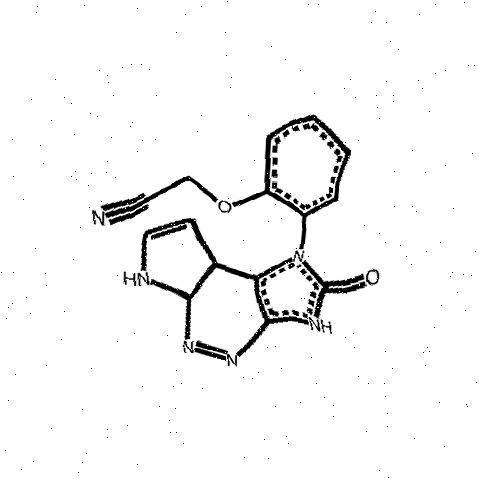 N#CCOc1ccccc1-n1c2c([nH]c1=O)N=NC1NC=CC21